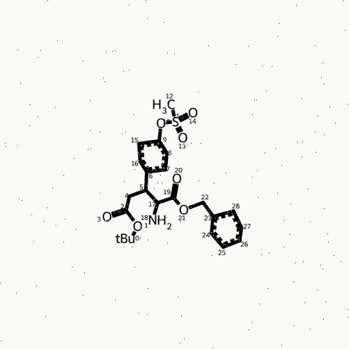 CC(C)(C)OC(=O)CC(c1ccc(OS(C)(=O)=O)cc1)C(N)C(=O)OCc1ccccc1